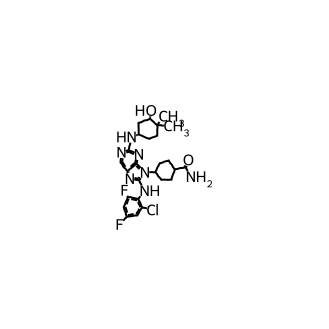 CC1(C)CC[C@@H](Nc2ncc3nc(Nc4c(F)cc(F)cc4Cl)n(C4CCC(C(N)=O)CC4)c3n2)C[C@H]1O